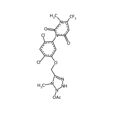 CC(=O)ON1NN=C(COc2cc(-n3c(=O)cc(C(F)(F)F)n(C)c3=O)c(Cl)cc2Cl)N1C